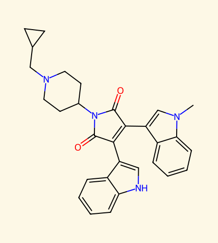 Cn1cc(C2=C(c3c[nH]c4ccccc34)C(=O)N(C3CCN(CC4CC4)CC3)C2=O)c2ccccc21